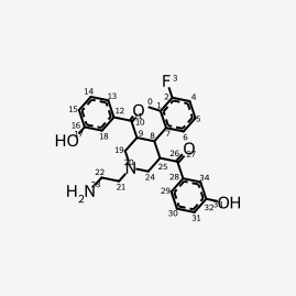 Cc1c(F)cccc1C1C(C(=O)c2cccc(O)c2)CN(CCN)CC1C(=O)c1cccc(O)c1